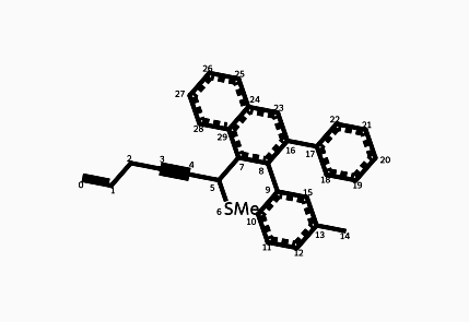 C=CCC#CC(SC)c1c(-c2cccc(C)c2)c(-c2ccccc2)cc2ccccc12